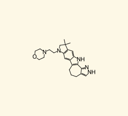 CC1(C)CN(CCN2CCOCC2)c2cc3c4c([nH]c3cc21)-c1n[nH]cc1CCC4